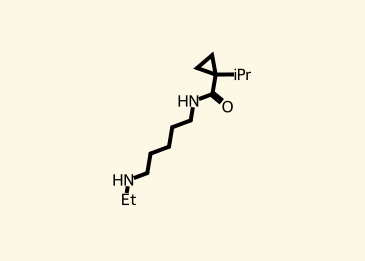 CCNCCCCCNC(=O)C1(C(C)C)CC1